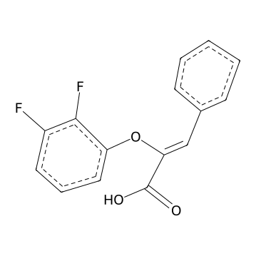 O=C(O)C(=Cc1ccccc1)Oc1cccc(F)c1F